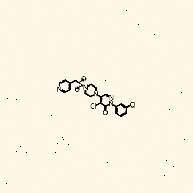 O=c1c(Cl)c(N2CCN(S(=O)(=O)Cc3ccncc3)CC2)cnn1-c1cccc(Cl)c1